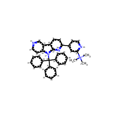 C[N+](C)(C)c1cc(-c2ccc3c4cnccc4n(C(c4ccccc4)(c4ccccc4)c4ccccc4)c3n2)ccn1